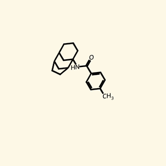 Cc1ccc(C(=O)NC23CCCC(C2)C2CCC3C2)cc1